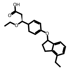 CCO[C@@H](CC(=O)O)C1C=CC(OC2CCc3c(CC)cccc32)=CC1